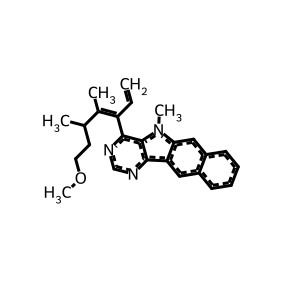 C=CC(=C(C)C(C)CCOC)c1ncnc2c3cc4ccccc4cc3n(C)c12